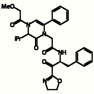 COCC(=O)N1C=C(c2ccccc2)N(CC(=O)N[C@@H](Cc2ccccc2)C(=O)C2=NCCO2)C(=O)C1C(C)C